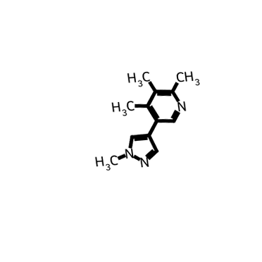 Cc1ncc(-c2cnn(C)c2)c(C)c1C